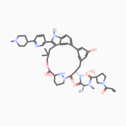 C=CC(=O)N1CC[C@](O)(C(=O)N(C)[C@H](C(=O)N[C@H]2Cc3cc(O)cc(c3)-c3ccc4c(c3)c(c(-c3ccc(C5CCN(C)CC5)nc3)n4CC)CC(C)(C)COC(=O)[C@@]3(O)CCCN(N3)C2=O)C(C)C)C1